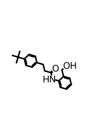 CC(C)(C)c1ccc(CCC(=O)Nc2ccccc2CO)cc1